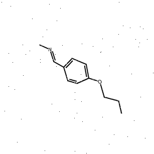 CCCOc1ccc(/C=N/C)cc1